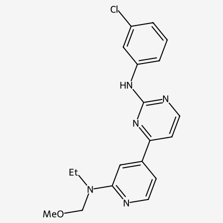 CCN(COC)c1cc(-c2ccnc(Nc3cccc(Cl)c3)n2)ccn1